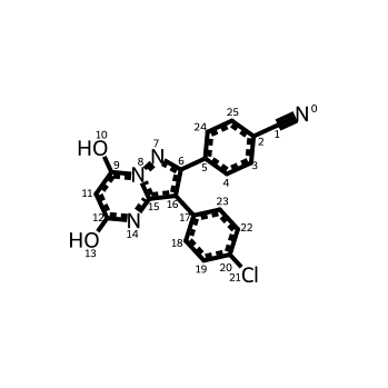 N#Cc1ccc(-c2nn3c(O)cc(O)nc3c2-c2ccc(Cl)cc2)cc1